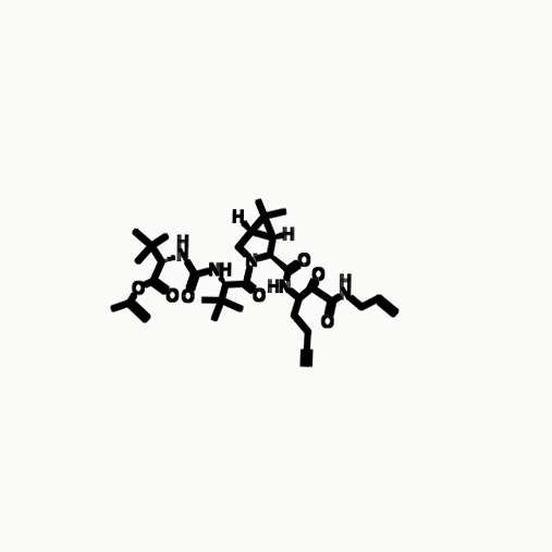 C#CCCC(NC(=O)[C@@H]1[C@@H]2[C@H](CN1C(=O)[C@@H](NC(=O)N[C@H](C(=O)OC(=C)C)C(C)(C)C)C(C)(C)C)C2(C)C)C(=O)C(=O)NCC=C